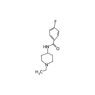 CCN1CCC(NC(=O)c2ccc(F)cc2)CC1